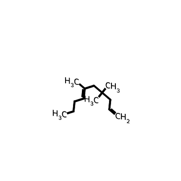 C=CCC(C)(C)CC(C)=CCCC